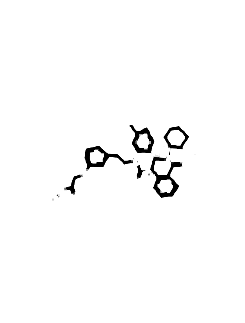 CC(C)(C)OC(=O)COc1cccc(CCNC(=O)[C@@H]2c3ccccc3C(=O)N([C@H]3CCCC[C@@H]3O)[C@H]2c2ccc(Cl)cc2)c1